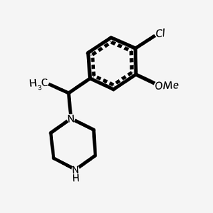 COc1cc(C(C)N2CCNCC2)ccc1Cl